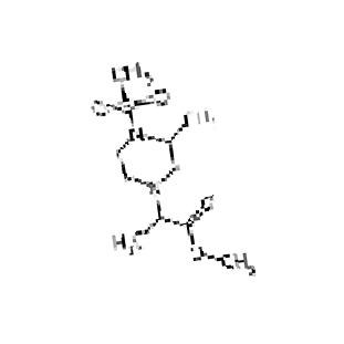 COC(=O)C(C)N1CCN(S(C)(=O)=O)C(C)C1